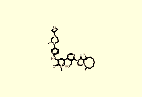 CC1CCCCC/C(F)=C2/C(=O)N(c3nccc(-c4cc(Nc5ccc(N6CCN(C7COC7)C[C@@H]6C)cn5)c(=O)n(C)c4)c3CO)CCN21